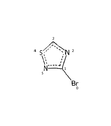 Brc1n[c]sn1